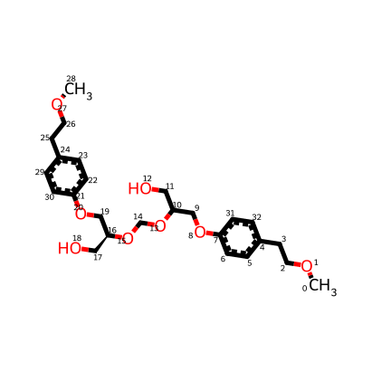 COCCc1ccc(OCC(CO)OCO[C@@H](CO)COc2ccc(CCOC)cc2)cc1